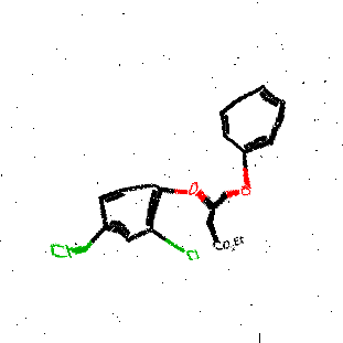 CCOC(=O)C(Oc1ccccc1)Oc1ccc(Cl)cc1Cl